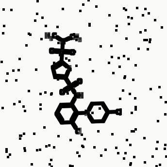 CN(C)S(=O)(=O)c1ccc(S(=O)(=O)Nc2cccc(Cl)c2N2CCC(Cl)CC2)s1